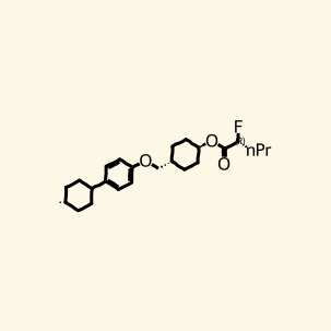 CCC[C@@H](F)C(=O)O[C@H]1CC[C@H](COc2ccc(C3CC[CH]CC3)cc2)CC1